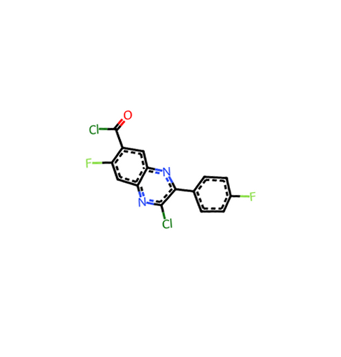 O=C(Cl)c1cc2nc(-c3ccc(F)cc3)c(Cl)nc2cc1F